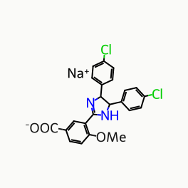 COc1ccc(C(=O)[O-])cc1C1=NC(c2ccc(Cl)cc2)C(c2ccc(Cl)cc2)N1.[Na+]